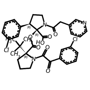 CC(C)(C)[C@@]1(C(=O)O[C@@]2(C(=O)O)[C@@H](c3cccc(Cl)c3)CCN2C(=O)Cc2cccnc2)CCCN1C(=O)C(=O)c1cccc(Cl)c1